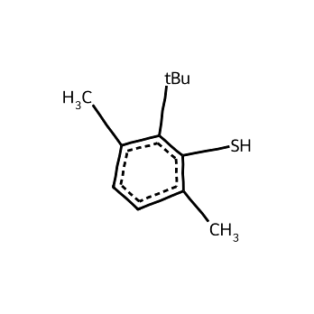 Cc1ccc(C)c(C(C)(C)C)c1S